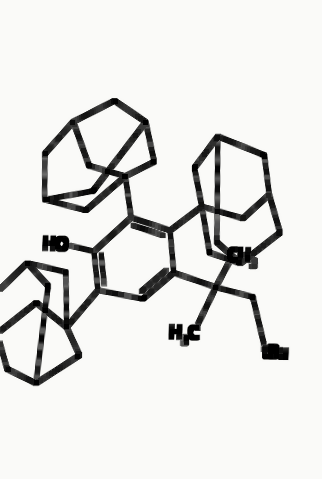 CC(C)(C)CC(C)(C)c1cc(C23CC4CC(CC(C4)C2)C3)c(O)c(C23CC4CC(CC(C4)C2)C3)c1C12CC3CC(CC(C3)C1)C2